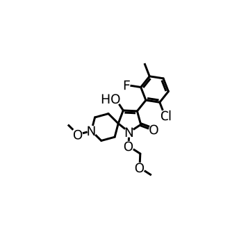 COCON1C(=O)C(c2c(Cl)ccc(C)c2F)=C(O)C12CCN(OC)CC2